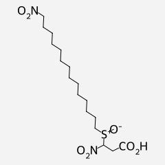 O=C(O)CC([N+](=O)[O-])[S+]([O-])CCCCCCCCCCCCCC[N+](=O)[O-]